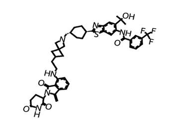 C=C1c2cccc(NCCC3CC4(C3)CN(C[C@H]3CC[C@H](c5nc6cc(C(C)(C)O)c(NC(=O)c7cccc(C(F)(F)F)c7)cc6s5)CC3)C4)c2C(=O)N1C1CCC(=O)NC1=O